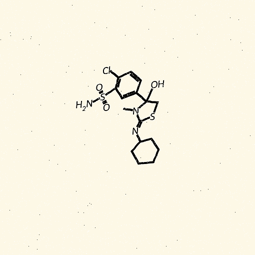 CN1C(=NC2CCCCC2)SCC1(O)c1ccc(Cl)c(S(N)(=O)=O)c1